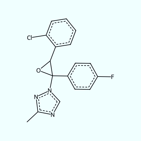 Cc1ncn(C2(c3ccc(F)cc3)OC2c2ccccc2Cl)n1